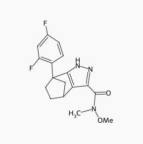 CON(C)C(=O)c1n[nH]c2c1C1CCC2(c2ccc(F)cc2F)C1